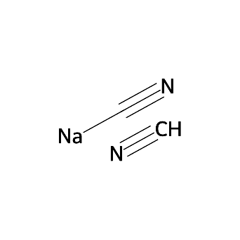 C#N.N#[C][Na]